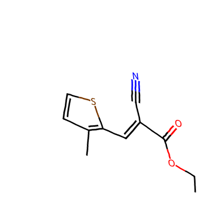 CCOC(=O)/C(C#N)=C/c1sccc1C